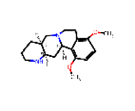 COc1ccc(OC)c2c1CCN1C[C@@H]3CCCN[C@@H]3C[C@H]21